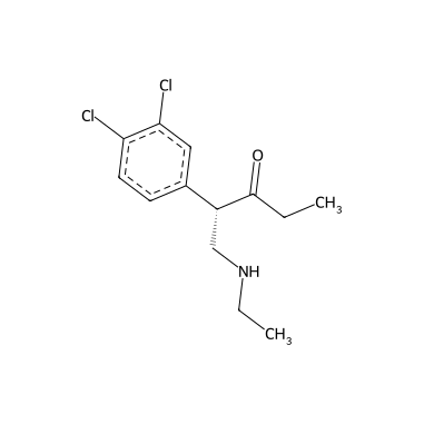 CCNC[C@@H](C(=O)CC)c1ccc(Cl)c(Cl)c1